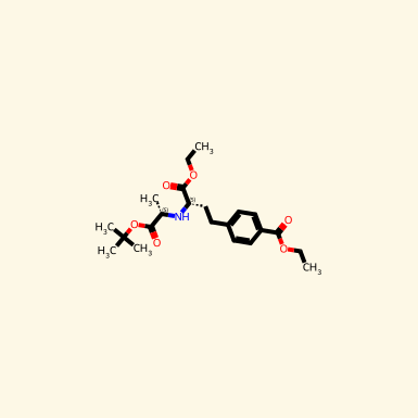 CCOC(=O)c1ccc(CC[C@H](N[C@@H](C)C(=O)OC(C)(C)C)C(=O)OCC)cc1